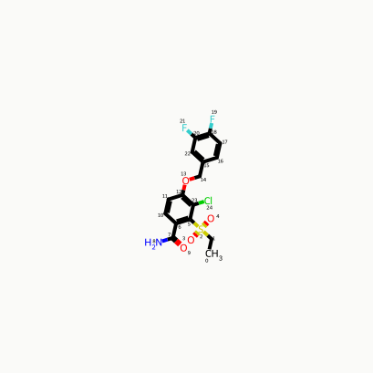 CCS(=O)(=O)c1c(C(N)=O)ccc(OCc2ccc(F)c(F)c2)c1Cl